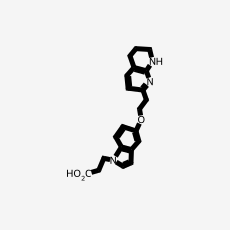 O=C(O)CCn1ccc2cc(OCCc3ccc4c(n3)NCCC4)ccc21